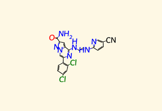 N#Cc1ccc(NCCNc2nc(-c3ccc(Cl)cc3Cl)cn3nc(C(N)=O)cc23)nc1